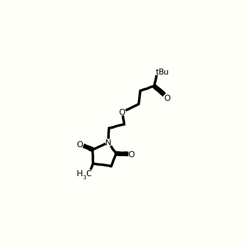 CC1CC(=O)N(CCOCCC(=O)C(C)(C)C)C1=O